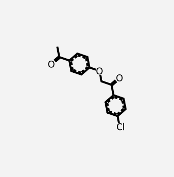 CC(=O)c1ccc(OCC(=O)c2ccc(Cl)cc2)cc1